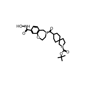 CC(C)(C)OC(=O)N1CCC2(CCC(C(=O)N3CCOc4cc(C(=O)NO)ccc4C3)CC2)C1